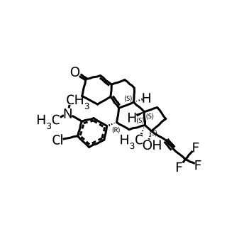 CN(C)c1cc([C@H]2C[C@@]3(C)[C@@H](CC[C@@]3(O)C#CC(F)(F)F)[C@@H]3CCC4=CC(=O)CCC4=C32)ccc1Cl